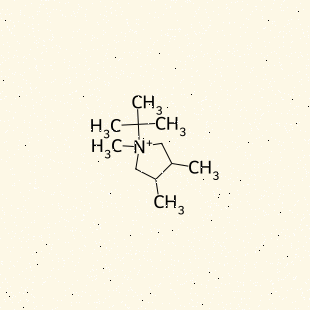 CC1C[N+](C)(C(C)(C)C)CC1C